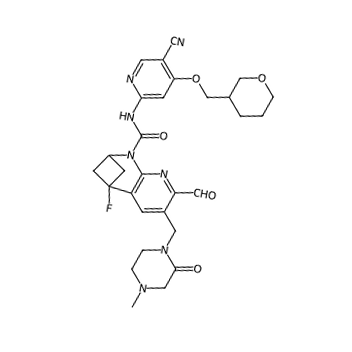 CN1CCN(Cc2cc3c(nc2C=O)N(C(=O)Nc2cc(OCC4CCCOC4)c(C#N)cn2)C2CC3(F)C2)C(=O)C1